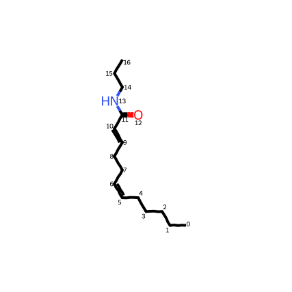 CCCCC/C=C\CC/C=C/C(=O)NCCC